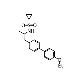 CCOc1ccc(-c2ccc(CC(C)NS(=O)(=O)C3CC3)cc2)cc1